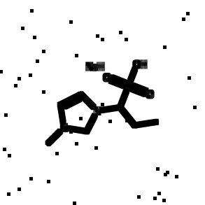 CCC(N1C=CN(C)C1)S(=O)(=O)O.[NaH]